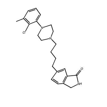 Cc1cccc(N2CCN(CCCCc3ccc4c(c3)C(=O)NC4)CC2)c1Cl